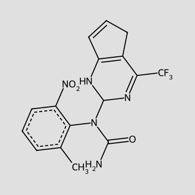 Cc1cccc([N+](=O)[O-])c1N(C(N)=O)C1N=C(C(F)(F)F)C2=C(C=CC2)N1